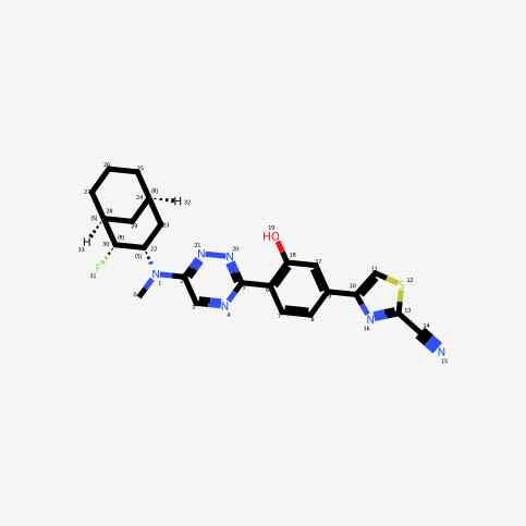 CN(c1cnc(-c2ccc(-c3csc(C#N)n3)cc2O)nn1)[C@H]1C[C@@H]2CCC[C@@H](C2)[C@H]1F